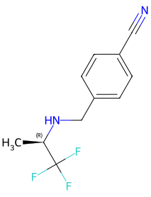 C[C@@H](NCc1ccc(C#N)cc1)C(F)(F)F